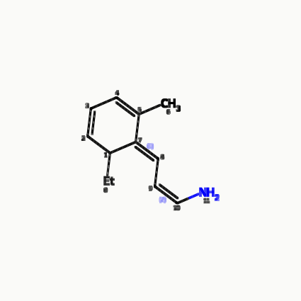 CCC1C=CC=C(C)/C1=C/C=C\N